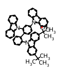 CC(C)(C)c1ccc2c(c1)c1cc(C(C)(C)C)ccc1n2-c1ccccc1-c1ccc(-n2c3ccccc3c3ccccc32)cc1-n1c2ccccc2c2ccccc21